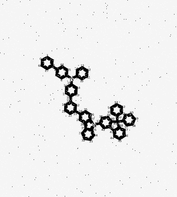 c1ccc(-c2ccc(N(c3ccccc3)c3ccc(-c4cccc(-c5ccc6c(c5)c5ccccc5n6-c5ccc6c(c5)-c5ccccc5C6(c5ccccc5)c5ccccc5)c4)cc3)cc2)cc1